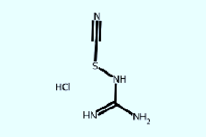 Cl.N#CSNC(=N)N